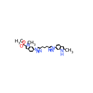 COC(=O)c1cc2ccc(-n3cc(CCCc4cn(-c5ccc6cc(C)[nH]c6c5)nn4)nn3)cc2n1C